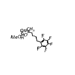 CO[SiH](OC)OC(C)CCCCc1c(F)c(F)c(F)c(F)c1F